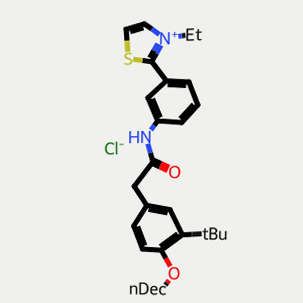 CCCCCCCCCCOc1ccc(CC(=O)Nc2cccc(-c3scc[n+]3CC)c2)cc1C(C)(C)C.[Cl-]